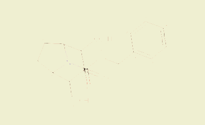 O=C(O)C1C(=O)C(C(=O)O)C2CCC1N2C(=O)OCc1ccccc1